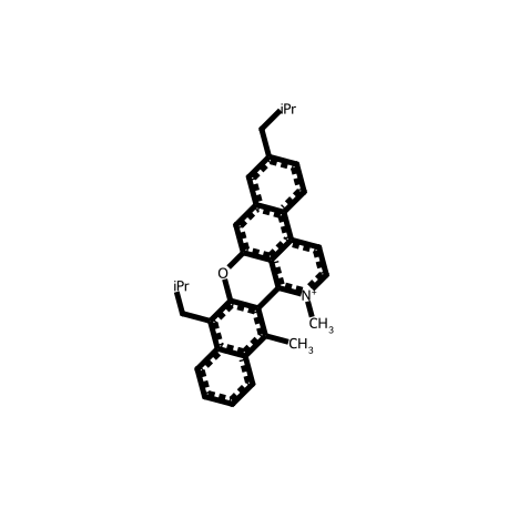 Cc1c2c(c(CC(C)C)c3ccccc13)Oc1cc3cc(CC(C)C)ccc3c3cc[n+](C)c-2c13